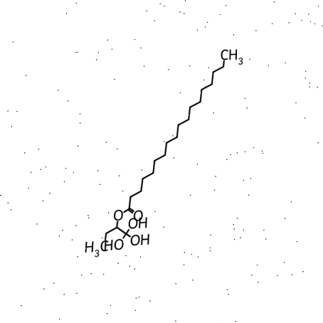 CCCCCCCCCCCCCCCCCC(=O)OC(CC)C(O)(O)O